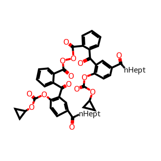 CCCCCCCC(=O)c1ccc(OC(=O)OC2CC2)c(C(=O)c2ccccc2C(=O)OOC(=O)c2ccccc2C(=O)c2cc(C(=O)CCCCCCC)ccc2OC(=O)OC2CC2)c1